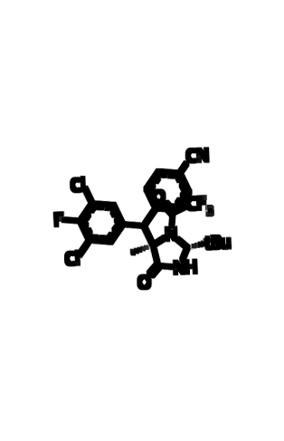 CC(C)(C)[C@@H]1NC(=O)[C@@](C)(C(c2ccc(C#N)cc2)c2cc(Cl)c(F)c(Cl)c2)N1C(=O)C(F)(F)F